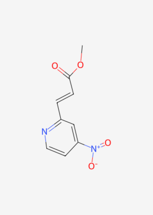 COC(=O)C=Cc1cc([N+](=O)[O-])ccn1